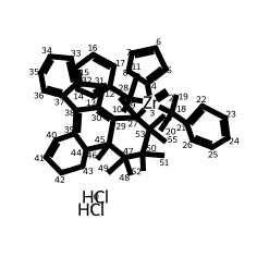 Cl.Cl.[CH2]=[Zr]([C]1=CC=CC1)([C](C)(C)c1ccccc1)([C](C)(C)c1ccccc1)[C]1(C)C2=C3Cc4ccccc4C3=C3C=CCCC3C2(C)C(C)(C)C(C)(C)C1(C)C